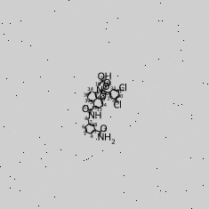 NC(=O)c1cccc(CNC(=O)c2cccc3c(N(CC(=O)O)S(=O)(=O)c4cc(Cl)cc(Cl)c4)cccc23)c1